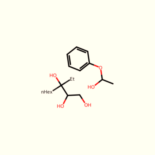 CC(O)Oc1ccccc1.CCCCCCC(O)(CC)C(O)CO